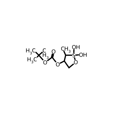 CC1C(OC(=O)OC(C)(C)C)COS1(O)O